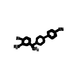 C=C(c1ccc(CC)c(N)c1)N1CCC(c2ccc(C#N)cc2)CC1